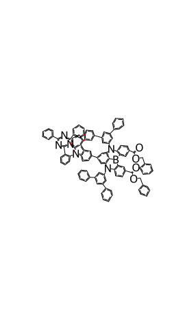 O=C(OCc1ccccc1)c1ccc2c(c1)B1c3cc(C(=O)OCc4ccccc4)ccc3N(c3cc(-c4ccccc4)cc(-c4ccccc4)c3)c3cc(-c4ccc5c(c4)c4ccccc4n5-c4ccccc4-c4nc(-c5ccccc5)nc(-c5ccccc5)n4)cc(c31)N2c1cc(-c2ccccc2)cc(-c2ccccc2)c1